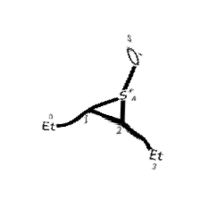 CCC1C(CC)[S+]1[O-]